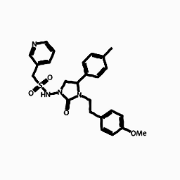 COc1ccc(CCN2C(=O)N(NS(=O)(=O)Cc3cccnc3)CC2c2ccc(C)cc2)cc1